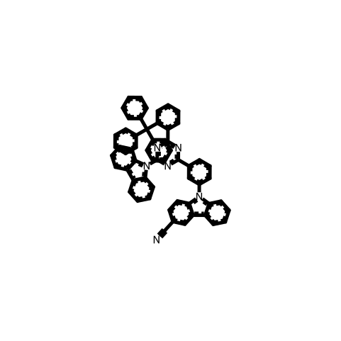 N#Cc1ccc2c(c1)c1ccccc1n2-c1cccc(-c2nc(-c3ccccc3C(c3ccccc3)(c3ccccc3)c3ccccc3)nc(-n3c4ccccc4c4ccccc43)n2)c1